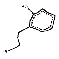 Oc1ccccc1CCBr